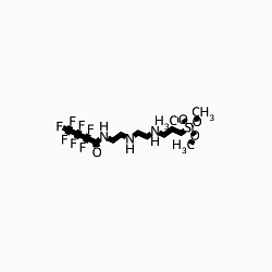 CO[Si](CCCNCCNCCNC(=O)C(F)(F)C(F)(F)C(F)(F)F)(OC)OC